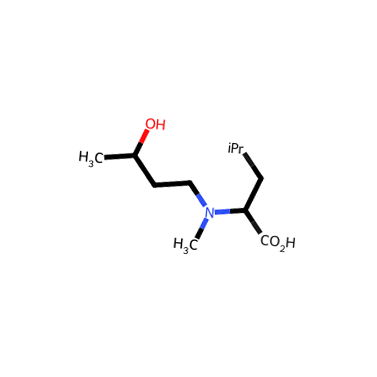 CC(C)CC(C(=O)O)N(C)CCC(C)O